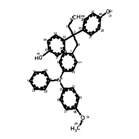 CCC(Cc1ccc(N(c2ccccc2)c2ccc(OC)cc2)cc1)(c1ccc(O)cc1)c1ccc(O)cc1